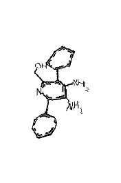 Nc1c(-c2ccccc2)nc(CO)c(-c2ccccc2)c1N